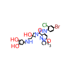 Cn1nc(C(=O)N2CC(O)(CCN[C@H]3C[C@@H](O)[C@@H](O)C3)C2)c(Nc2ccc(Br)cc2Cl)cc1=O